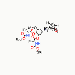 COc1cc(/C=C/C2=CC(=O)[C@H]3C[C@@H]2C3(C)C)cc(OC(=O)C(NC(=O)OC(C)(C)C)C(C)C)c1OC(=O)C(NC(=O)OC(C)(C)C)C(C)C